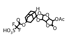 CC(=O)OC1C(=O)OC2C3OC4(OC3OC12)C1CC2C[C@H]4CC(OC(=O)C(F)(F)S(=O)(=O)O)(C2)C1